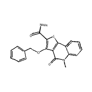 CNC(=O)c1sc2c(c1OCc1ccccc1)c(=O)n(C)c1ccccc21